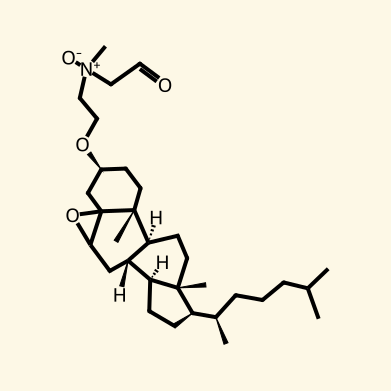 CC(C)CCC[C@@H](C)[C@H]1CC[C@H]2[C@@H]3CC4OC45C[C@@H](OCC[N+](C)([O-])CC=O)CC[C@]5(C)[C@H]3CC[C@]12C